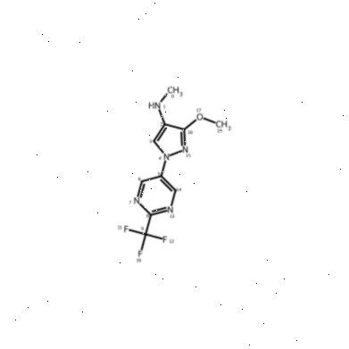 CNc1cn(-c2cnc(C(F)(F)F)nc2)nc1OC